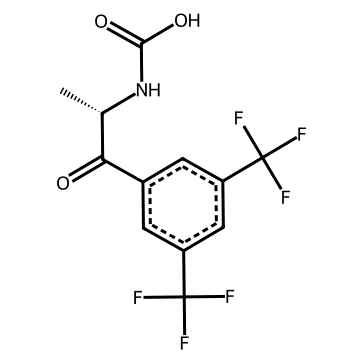 C[C@H](NC(=O)O)C(=O)c1cc(C(F)(F)F)cc(C(F)(F)F)c1